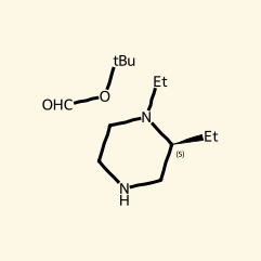 CC(C)(C)OC=O.CC[C@H]1CNCCN1CC